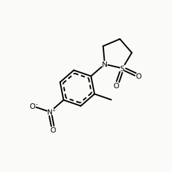 Cc1cc([N+](=O)[O-])ccc1N1CCCS1(=O)=O